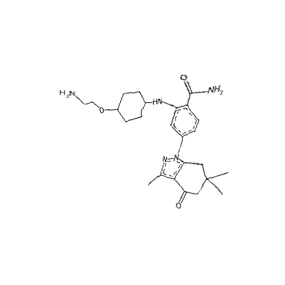 Cc1nn(-c2ccc(C(N)=O)c(NC3CCC(OCCN)CC3)c2)c2c1C(=O)CC(C)(C)C2